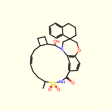 CC1CCC=CCC2CCC2C(O)N2CC3(CCCc4ccccc43)COc3ccc(cc32)C(=O)NS1(=O)=O